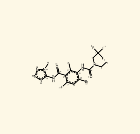 CCN(CC(F)(F)F)C(=O)Nc1c(Br)cc(F)c(C(=O)Nc2nnnn2C)c1C